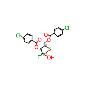 O=C(OC[C@H]1S[C@H](O)[C@@H](F)[C@@H]1OC(=O)c1ccc(Cl)cc1)c1ccc(Cl)cc1